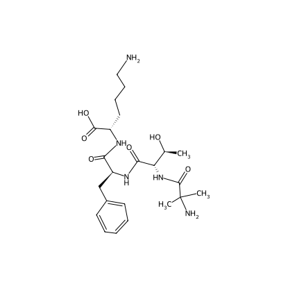 C[C@H](O)[C@H](NC(=O)C(C)(C)N)C(=O)N[C@@H](Cc1ccccc1)C(=O)N[C@@H](CCCCN)C(=O)O